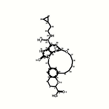 O=C(O)C1CCc2cc3cc(c2O1)CCCCCOc1nc(N(P)BCCC2CC2)c2[nH]c(=O)n(c2n1)C3